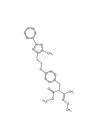 CO/N=C(\C)C(Cc1ccc(OCCc2nc(-c3ccccc3)oc2C)cc1)C(=O)OC